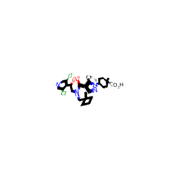 CC1(CN(CC(=O)c2c(Cl)cncc2Cl)C(=O)c2cnn(C3CCC(C)(C(=O)O)CC3)c2C(F)(F)F)CCC1